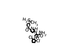 CN(C)[C@H]1CCN(C(=O)c2ccc(Nc3cn(-c4c(Cl)cccc4Cl)nc3C(N)=O)cn2)C1